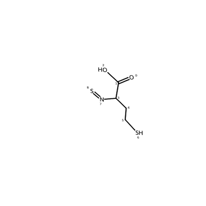 O=C(O)C(CCS)N=S